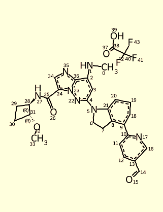 CNc1cc(N2CCc3c(-c4ccc(C=O)cn4)cccc32)nn2c(C(=O)N[C@@H]3CC[C@H]3OC)cnc12.O=C(O)C(F)(F)F